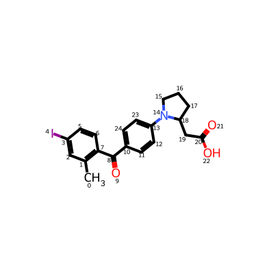 Cc1cc(I)ccc1C(=O)c1ccc(N2CCCC2CC(=O)O)cc1